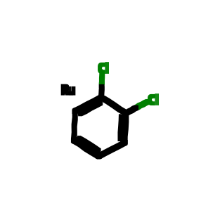 Clc1ccccc1Cl.[Ru]